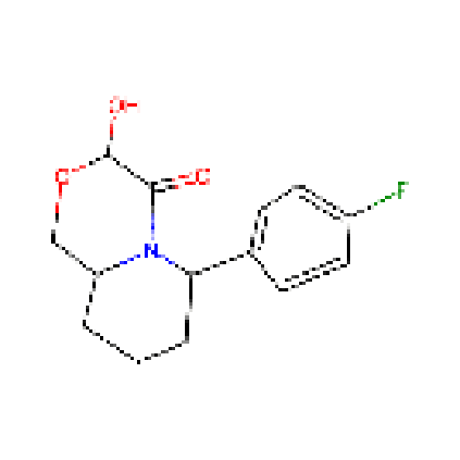 O=C1C(O)OCC2CCCC(c3ccc(F)cc3)N12